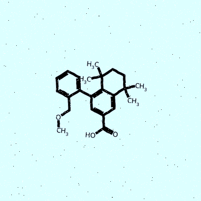 COCc1ccccc1-c1cc(C(=O)O)cc2c1C(C)(C)CCC2(C)C